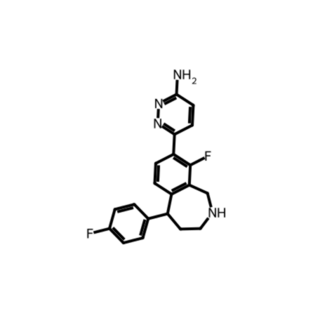 Nc1ccc(-c2ccc3c(c2F)CNCCC3c2ccc(F)cc2)nn1